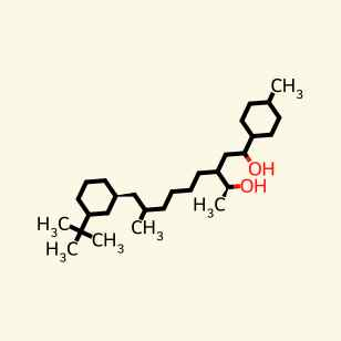 CC1CCC(C(O)CC(CCCCC(C)C[C@@H]2CCCC(C(C)(C)C)C2)[C@H](C)O)CC1